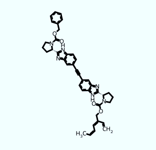 C=C/C(=C\C=C/C)COC(=O)N1CCC[C@H]1c1nc2cc(C#Cc3ccc4[nH]c([C@@H]5CCCN5C(=O)OCc5ccccc5)nc4c3)ccc2[nH]1